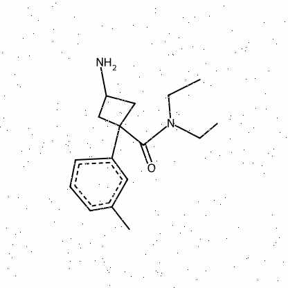 CCN(CC)C(=O)C1(c2cccc(C)c2)CC(N)C1